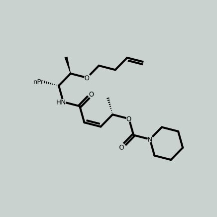 C=CCCO[C@H](C)[C@@H](CCC)NC(=O)/C=C\[C@H](C)OC(=O)N1CCCCC1